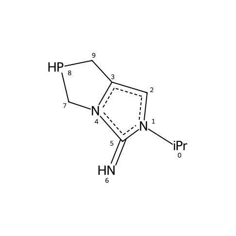 CC(C)n1cc2n(c1=N)CPC2